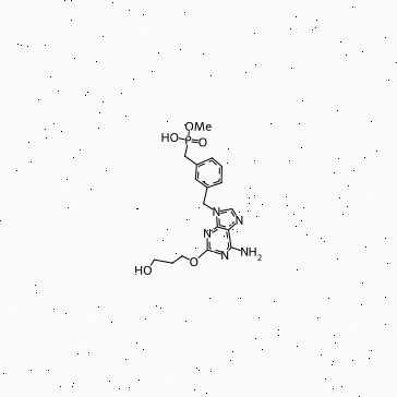 COP(=O)(O)Cc1cccc(Cn2cnc3c(N)nc(OCCCO)nc32)c1